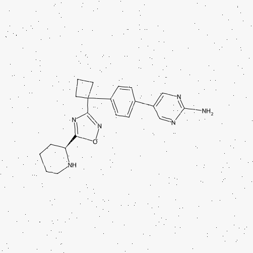 Nc1ncc(-c2ccc(C3(c4noc([C@@H]5CCCCN5)n4)CCC3)cc2)cn1